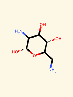 NCC1O[C@H](O)C(N)C(O)[C@@H]1O